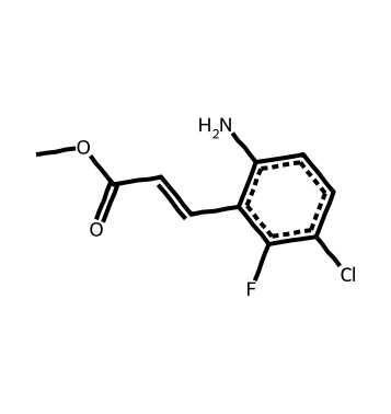 COC(=O)C=Cc1c(N)ccc(Cl)c1F